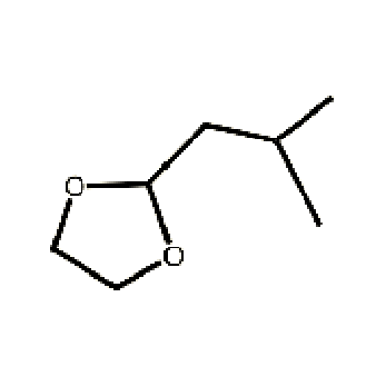 C[C](C)CC1OCCO1